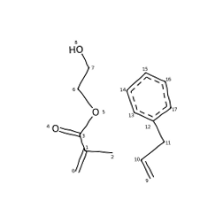 C=C(C)C(=O)OCCO.C=CCc1ccccc1